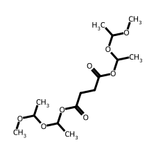 COC(C)OC(C)OC(=O)CCC(=O)OC(C)OC(C)OC